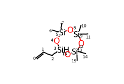 C=CC[SiH]1O[Si](C)(C)O[Si](C)(C)O[Si](C)(C)O1